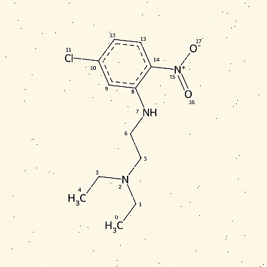 CCN(CC)CCNc1cc(Cl)ccc1[N+](=O)[O-]